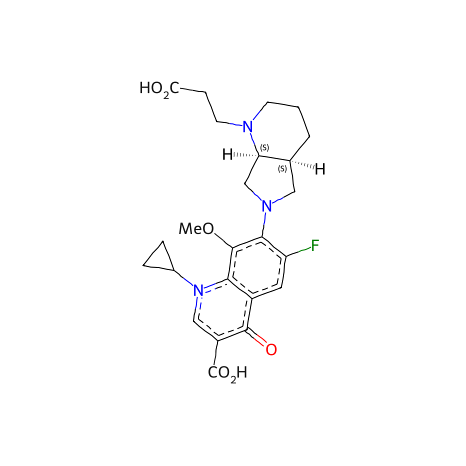 COc1c(N2C[C@@H]3CCCN(CCC(=O)O)[C@@H]3C2)c(F)cc2c(=O)c(C(=O)O)cn(C3CC3)c12